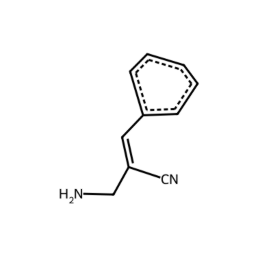 N#C/C(=C\c1ccccc1)CN